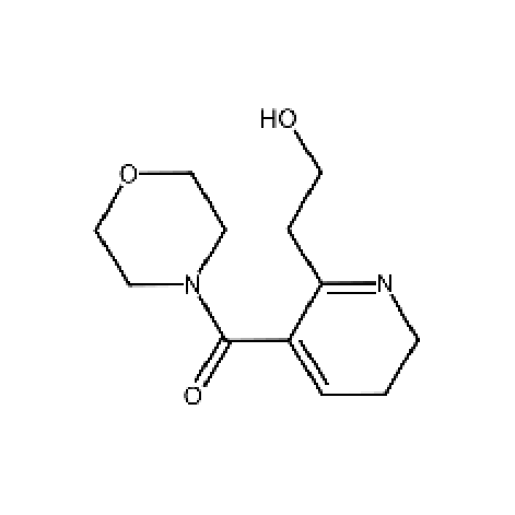 O=C(C1=CCCN=C1CCO)N1CCOCC1